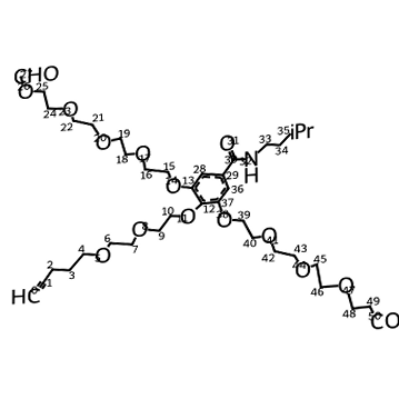 C#CCCCOCCOCCOc1c(OCCOCCOCCOCCOC=O)cc(C(=O)NCCC(C)C)cc1OCCOCCOCCOCCC(=O)O